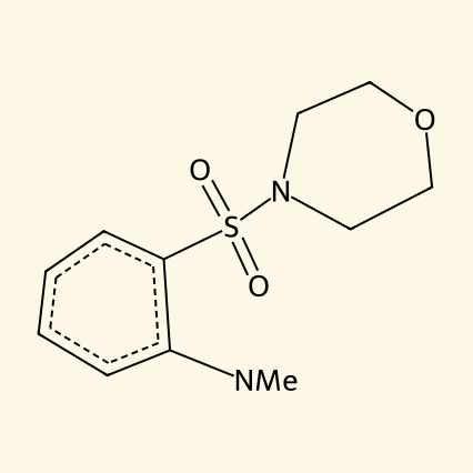 CNc1ccccc1S(=O)(=O)N1CCOCC1